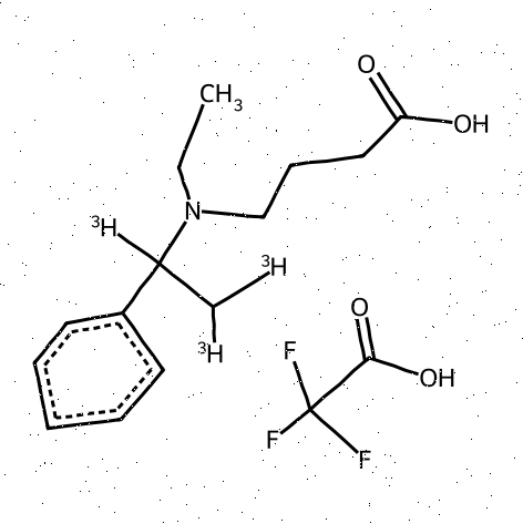 O=C(O)C(F)(F)F.[3H]C([3H])C([3H])(c1ccccc1)N(CC)CCCC(=O)O